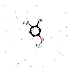 [CH2]C(C)c1cc(OC(F)(F)F)ccc1[N+](=O)[O-]